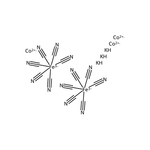 N#[C][Fe-3]([C]#N)([C]#N)([C]#N)([C]#N)[C]#N.N#[C][Fe-3]([C]#N)([C]#N)([C]#N)([C]#N)[C]#N.[Co+2].[Co+2].[Co+2].[KH].[KH].[KH]